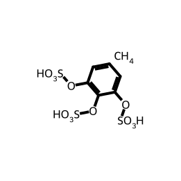 C.O=S(=O)(O)Oc1cccc(OS(=O)(=O)O)c1OS(=O)(=O)O